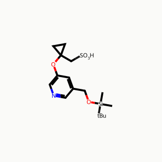 CC(C)(C)[Si](C)(C)OCc1cncc(OC2(CS(=O)(=O)O)CC2)c1